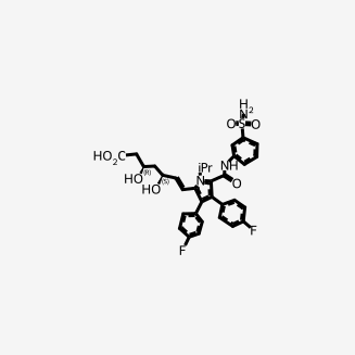 CC(C)n1c(C=C[C@@H](O)C[C@@H](O)CC(=O)O)c(-c2ccc(F)cc2)c(-c2ccc(F)cc2)c1C(=O)Nc1cccc(S(N)(=O)=O)c1